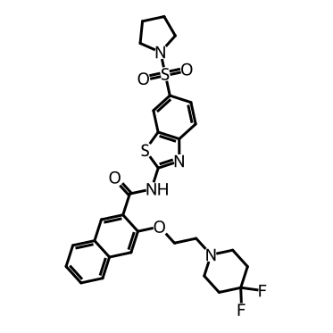 O=C(Nc1nc2ccc(S(=O)(=O)N3CCCC3)cc2s1)c1cc2ccccc2cc1OCCN1CCC(F)(F)CC1